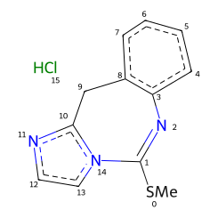 CSC1=Nc2ccccc2Cc2nccn21.Cl